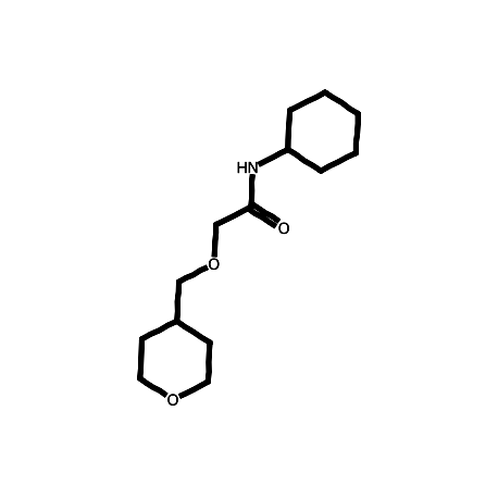 O=C(COCC1CCOCC1)NC1CCCCC1